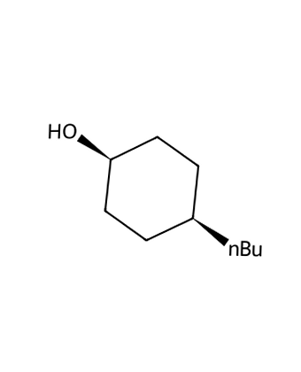 CCCC[C@H]1CC[C@@H](O)CC1